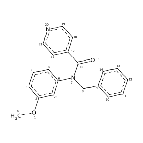 COc1cccc(N(Cc2ccccc2)C(=O)c2ccncc2)c1